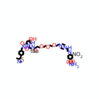 Cc1ncsc1-c1ccc(CNC(=O)[C@@H]2C[C@@H](O)CN2C(=O)C(NC(=O)CCOCCOCCOCCN2CCN(CCNc3ccc(S(N)(=O)=O)cc3[N+](=O)[O-])CC2)C(C)(C)C)cc1